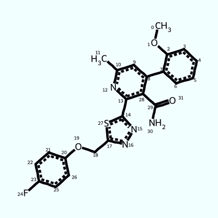 COc1ccccc1-c1cc(C)nc(-c2nnc(COc3ccc(F)cc3)s2)c1C(N)=O